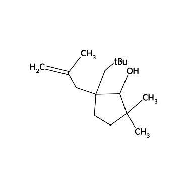 C=C(C)CC1(CC(C)(C)C)CCC(C)(C)C1O